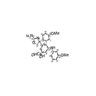 COc1ccc(C2(c3cccc(Nc4cccc(OC)c4)c3)COC(N)=N2)cc1.O=CO